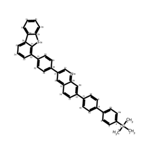 C[Si](C)(C)c1ccc(-c2ccc(-c3ccc4cc(-c5ccc(-c6cccc7c6sc6ccccc67)cc5)cnc4c3)cc2)cc1